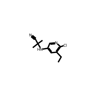 CCc1cc(NC(C)(C)C#N)cnc1Cl